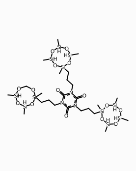 C[SiH]1OCO[Si](C)(CCCn2c(=O)n(CCC[Si]3(C)O[SiH](C)O[SiH](C)O[SiH](C)O3)c(=O)n(CCC[Si]3(C)O[SiH](C)O[SiH](C)O[SiH](C)O3)c2=O)O[SiH](C)O1